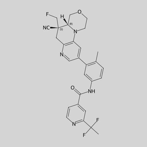 Cc1ccc(NC(=O)c2ccnc(C(C)(F)F)c2)cc1-c1cnc2c(c1)N1CCOC[C@H]1[C@@](C#N)(CF)C2